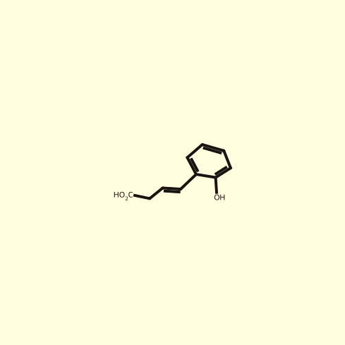 O=C(O)CC=Cc1ccccc1O